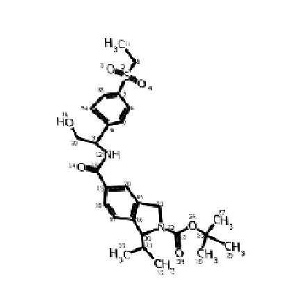 CCS(=O)(=O)c1ccc(C(CO)NC(=O)c2ccc3c(c2)CN(C(=O)OC(C)(C)C)C3C(C)C)cc1